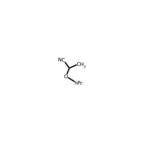 CC[CH]OC(C)C#N